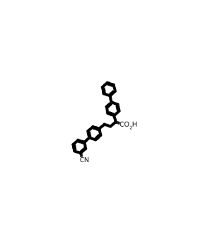 N#Cc1cccc(-c2ccc(CCC(C(=O)O)c3ccc(-c4ccccc4)cc3)cc2)c1